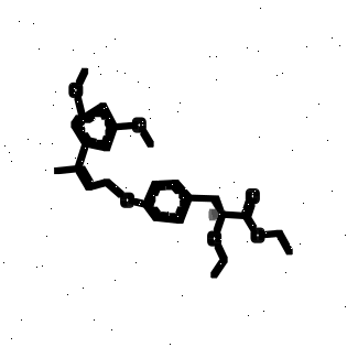 CCOC(=O)[C@H](Cc1ccc(OCC=C(C)c2cc(OC)cc(OC)c2)cc1)OCC